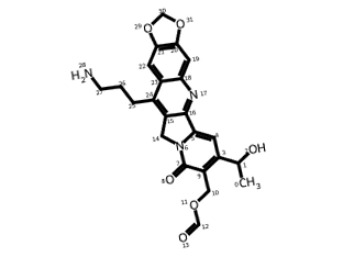 CC(O)c1cc2n(c(=O)c1COC=O)Cc1c-2nc2cc3c(cc2c1CCCN)OCO3